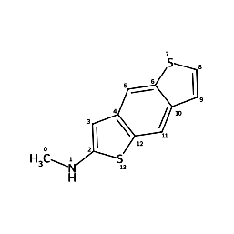 CNc1cc2cc3sccc3cc2s1